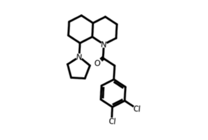 O=C(Cc1ccc(Cl)c(Cl)c1)N1CCCC2CCCC(N3CCCC3)C21